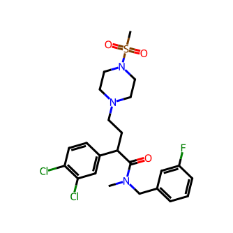 CN(Cc1cccc(F)c1)C(=O)C(CCN1CCN(S(C)(=O)=O)CC1)c1ccc(Cl)c(Cl)c1